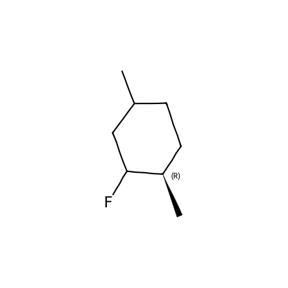 CC1CC[C@@H](C)C(F)C1